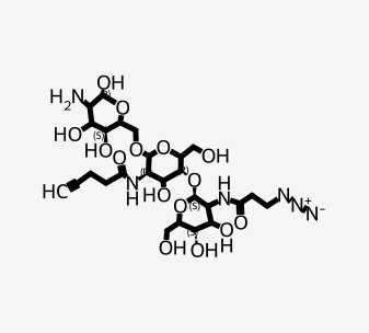 C#CCCC(=O)N[C@H]1C(OCC2O[C@@H](O)C(N)C(O)[C@@H]2O)OC(CO)[C@H](O[C@@H]2OC(CO)[C@@H](O)C(O)C2NC(=O)CCN=[N+]=[N-])C1O